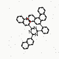 c1ccc(-c2cc3cnccc3c3c2ccc2ccccc23)c(-c2nc(-c3ccc4ccccc4c3)nc(-c3ccc4ccccc4c3)n2)c1